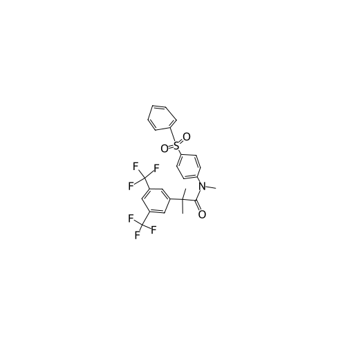 CN(C(=O)C(C)(C)c1cc(C(F)(F)F)cc(C(F)(F)F)c1)c1ccc(S(=O)(=O)c2ccccc2)cc1